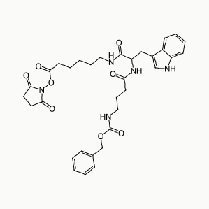 O=C(CCCNC(=O)OCc1ccccc1)NC(Cc1c[nH]c2ccccc12)C(=O)NCCCCCC(=O)ON1C(=O)CCC1=O